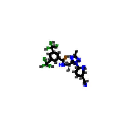 Cc1nc([C@H](C)NC(=S)c2cc(C(F)(F)F)cc(C(F)(F)F)c2)n(-c2ccc(C#N)cn2)n1